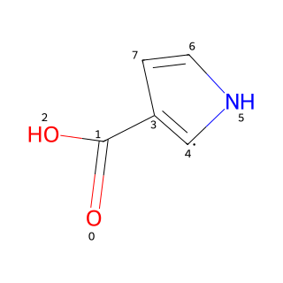 O=C(O)c1[c][nH]cc1